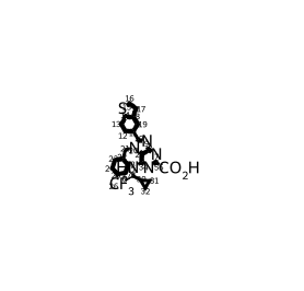 C[C@@H](Nc1nc(C(=O)O)nc2nc(-c3ccc4sccc4c3)n(Cc3ccc(C(F)(F)F)cc3)c12)C1CC1